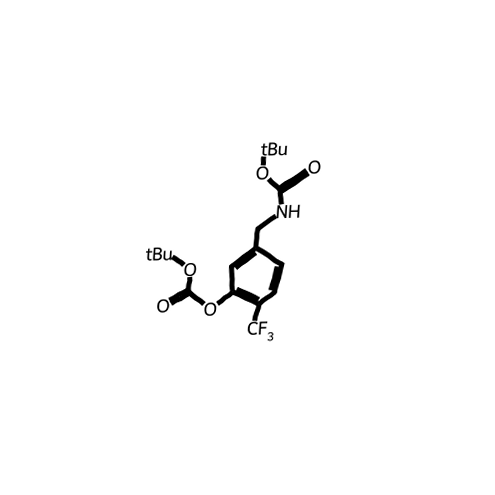 CC(C)(C)OC(=O)NCc1ccc(C(F)(F)F)c(OC(=O)OC(C)(C)C)c1